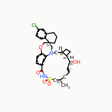 C[C@@H]1C/C=C/[C@H](O)[C@@H]2CC[C@H]2CN2C[C@@]3(CCCc4cc(Cl)ccc43)COc3ccc(cc32)C(=O)NS(=O)(=O)C1